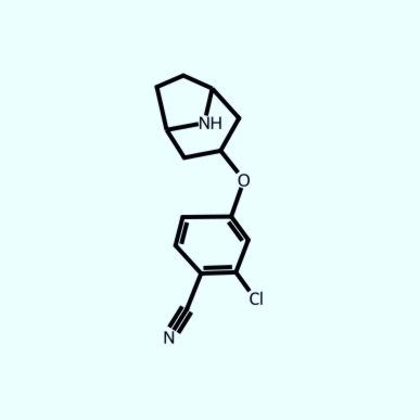 N#Cc1ccc(OC2CC3CCC(C2)N3)cc1Cl